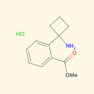 COC(=O)c1ccccc1C1(N)CCC1.Cl